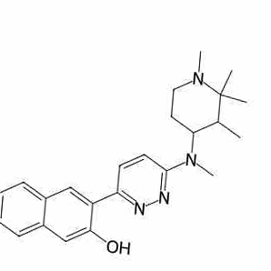 CC1C(N(C)c2ccc(-c3cc4ccccc4cc3O)nn2)CCN(C)C1(C)C